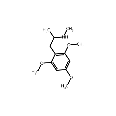 CNC(C)Cc1c(OC)cc(OC)cc1OC